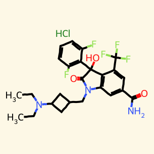 CCN(CC)C1CC(CN2C(=O)C(O)(c3c(F)cccc3F)c3c2cc(C(N)=O)cc3C(F)(F)F)C1.Cl